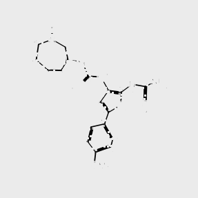 COc1ccc(-c2cc(OC(=O)N[C@H]3CCCCN(C)C3)c(NC(N)=O)s2)cc1